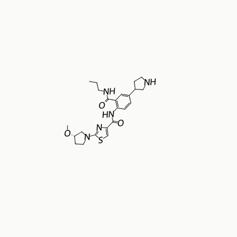 CCCNC(=O)c1cc(C2CCNC2)ccc1NC(=O)c1csc(N2CC[C@H](OC)C2)n1